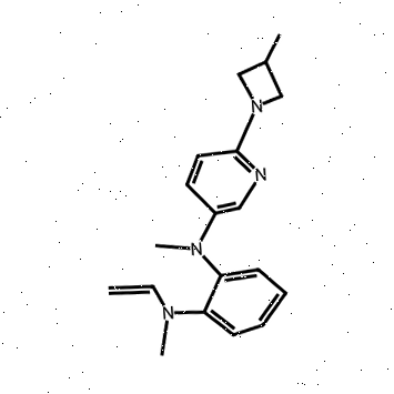 C=CN(C)c1ccccc1N(C)c1ccc(N2CC(C)C2)nc1